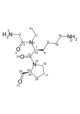 CCN(C(=O)CN)[C@@H](CCCCN)C(=O)N1CCC[C@H]1[C]=O